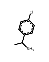 CC([SiH3])c1ccc(Cl)cc1